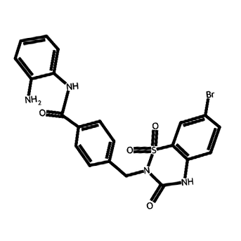 Nc1ccccc1NC(=O)c1ccc(CN2C(=O)Nc3ccc(Br)cc3S2(=O)=O)cc1